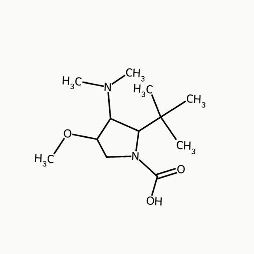 COC1CN(C(=O)O)C(C(C)(C)C)C1N(C)C